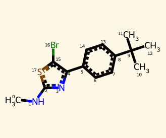 CNc1nc(-c2ccc(C(C)(C)C)cc2)c(Br)s1